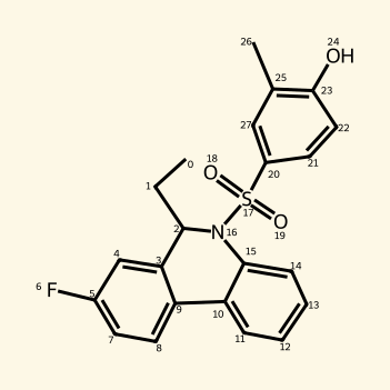 CCC1c2cc(F)ccc2-c2ccccc2N1S(=O)(=O)c1ccc(O)c(C)c1